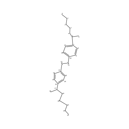 CCCCCC(C)c1ccc(SSc2ccc(C(C)CCCCC)cc2)cc1